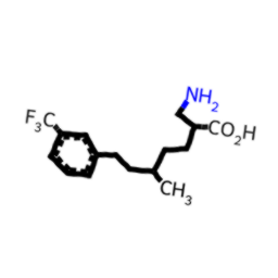 CC(CCc1cccc(C(F)(F)F)c1)CCC(CN)C(=O)O